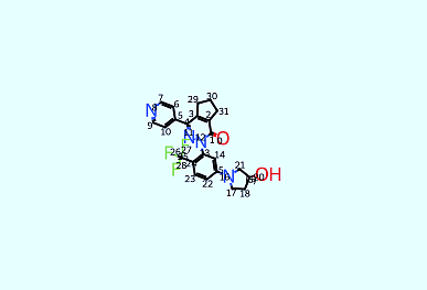 O=c1c2c(c(-c3ccncc3)nn1-c1cc(N3CC[C@H](O)C3)ccc1C(F)(F)F)CCC2